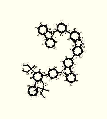 CCC(C)(CC)Oc1c(-c2ccccc2)cc(C(C)(CC)CC)cc1-c1ccc(-n2c3ccccc3c3cc(-c4ccc5oc6ccc(-c7cccc(-n8c9ccccc9c9ccccc98)c7)cc6c5c4)ccc32)cc1